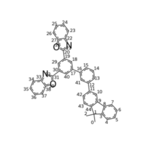 CC1(C)c2ccccc2-c2cc(-c3cccc(-c4cc(-c5nc6ccccc6o5)cc(-c5nc6ccccc6o5)c4)c3)ccc21